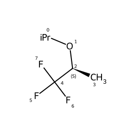 CC(C)O[C@@H](C)C(F)(F)F